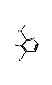 CNc1nccc(Cl)c1I